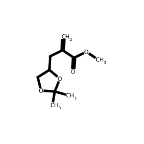 C=C(CC1COC(C)(C)O1)C(=O)OC